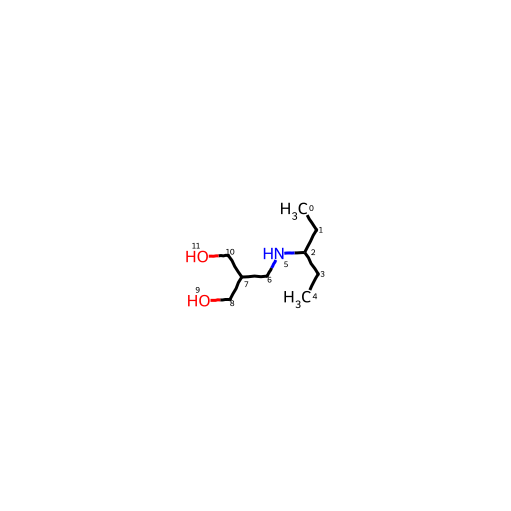 CCC(CC)NCC(CO)CO